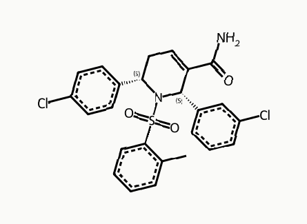 Cc1ccccc1S(=O)(=O)N1[C@@H](c2cccc(Cl)c2)C(C(N)=O)=CC[C@H]1c1ccc(Cl)cc1